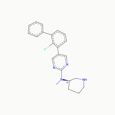 CN(c1ncc(-c2cccc(-c3ccccc3)c2F)cn1)[C@@H]1CCCNC1